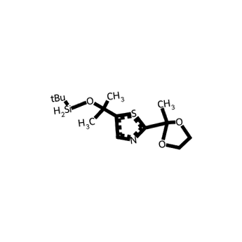 CC(C)(C)[SiH2]OC(C)(C)c1cnc(C2(C)OCCO2)s1